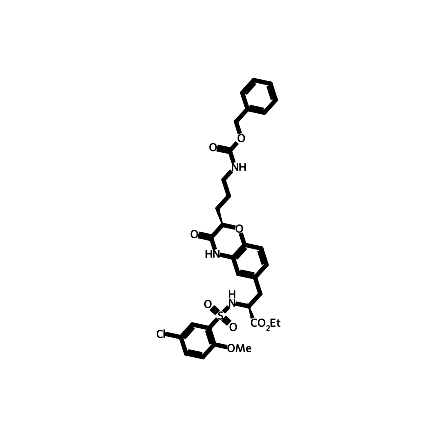 CCOC(=O)[C@H](Cc1ccc2c(c1)NC(=O)[C@@H](CCCNC(=O)OCc1ccccc1)O2)NS(=O)(=O)c1cc(Cl)ccc1OC